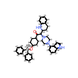 CC(C)(C)[Si](OC1CCC(C(=O)C(C2CCc3ccccc3N2)N2CCN(c3cccc4[nH]ccc34)CC2)CC1)(c1ccccc1)c1ccccc1